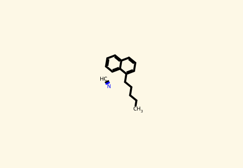 C#N.CCCCCc1cccc2ccccc12